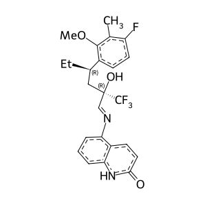 CC[C@H](C[C@@](O)(C=Nc1cccc2[nH]c(=O)ccc12)C(F)(F)F)c1ccc(F)c(C)c1OC